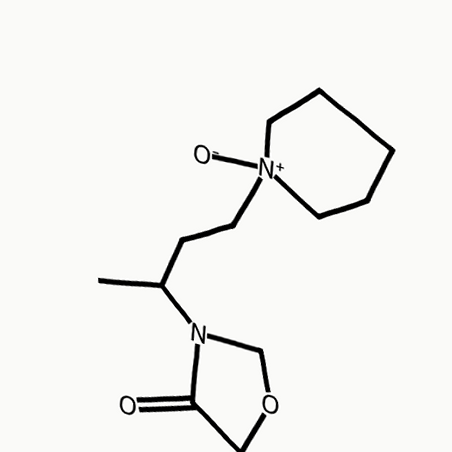 CC(CC[N+]1([O-])CCCCC1)N1COCC1=O